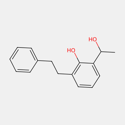 CC(O)c1cccc(CCc2ccccc2)c1O